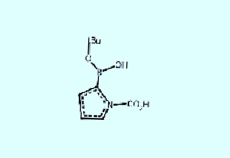 CC(C)(C)OB(O)c1cccn1C(=O)O